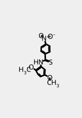 COc1ccc(OC)c(NC(=S)c2ccc([N+](=O)[O-])cc2)c1